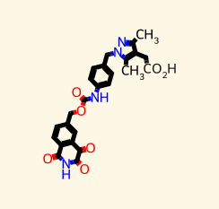 Cc1nn(Cc2ccc(NC(=O)OCc3ccc4c(c3)C(=O)C(=O)NC4=O)cc2)c(C)c1CC(=O)O